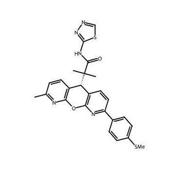 CSc1ccc(-c2ccc3c(n2)Oc2nc(C)ccc2[C@@H]3C(C)(C)C(=O)Nc2nncs2)cc1